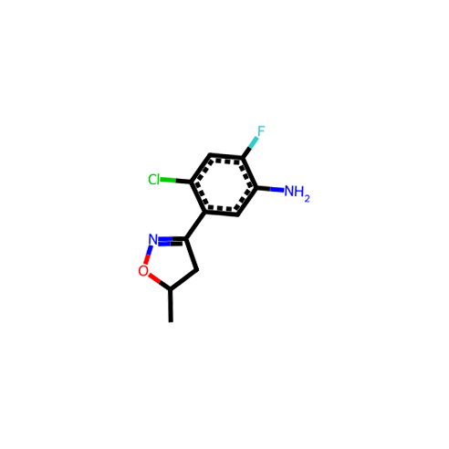 CC1CC(c2cc(N)c(F)cc2Cl)=NO1